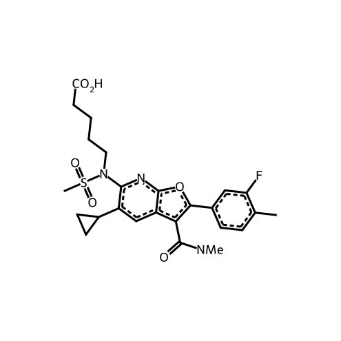 CNC(=O)c1c(-c2ccc(C)c(F)c2)oc2nc(N(CCCCC(=O)O)S(C)(=O)=O)c(C3CC3)cc12